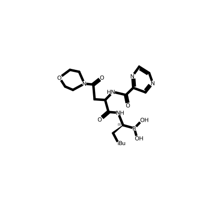 CCC(C)C[C@@H](NC(=O)C(CC(=O)N1CCOCC1)NC(=O)c1cnccn1)B(O)O